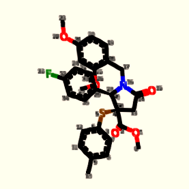 COC(=O)[C@@]1(Sc2ccc(C)cc2)CC(=O)N(Cc2ccc(OC)cc2OC)[C@@H]1c1ccc(F)cc1